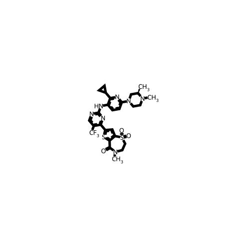 C[C@@H]1CN(c2ccc(Nc3ncc(C(F)(F)F)c(-c4cc5c(s4)C(=O)N(C)CCS5(=O)=O)n3)c(C3CC3)n2)CCN1C